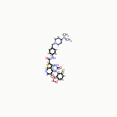 CN(C)C1CCN(Cc2ccc(NC(=O)c3sc4ncc(C#N)c5c4c3NC(=O)N5c3c(Cl)ccc4c3OCO4)cc2)CC1